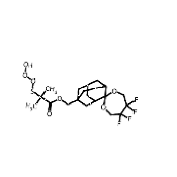 CC(C)(SOOO)C(=O)OCC12CC3CC(C1)C1(OCC(F)(F)C(F)(F)CO1)C(C3)C2